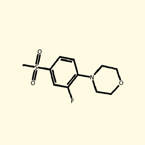 CS(=O)(=O)c1ccc(N2CCOCC2)c(F)c1